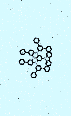 c1ccc(-c2cc(-c3ccccc3)cc(N3c4ccc(-c5ccccc5)cc4B4c5cc(-c6ccccc6)ccc5N(c5cc(-c6ccccc6)cc(-c6ccccc6)c5)c5cc(-n6c7ccccc7c7ccccc76)cc3c54)c2)cc1